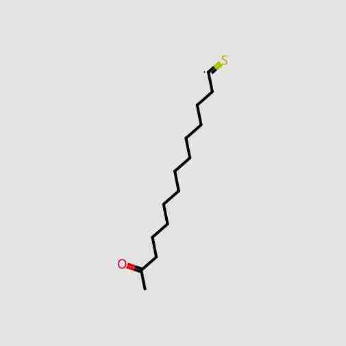 CC(=O)CCCCCCCCCCC[C]=S